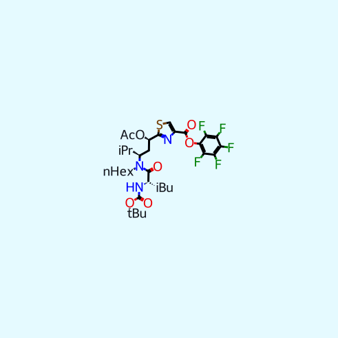 CCCCCCN(C(=O)[C@@H](NC(=O)OC(C)(C)C)[C@@H](C)CC)[C@H](C[C@@H](OC(C)=O)c1nc(C(=O)Oc2c(F)c(F)c(F)c(F)c2F)cs1)C(C)C